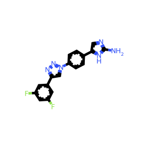 Nc1ncc(-c2ccc(-n3cc(-c4cc(F)cc(F)c4)nn3)cc2)[nH]1